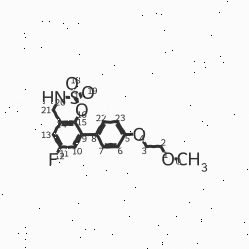 COCCOc1ccc(-c2cc(F)cc3c2OS(=O)(=O)NC3)cc1